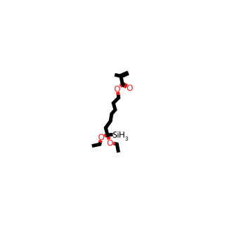 C=C(C)C(=O)OCCCCCCC([SiH3])(OCC)OCC